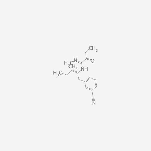 CCC(=O)/C(=N/C)N/C(Cc1cccc(C#N)c1)=C(\C)CC